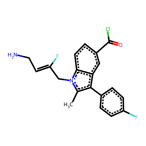 Cc1c(-c2ccc(F)cc2)c2cc(C(=O)Cl)ccc2n1C/C(F)=C/CN